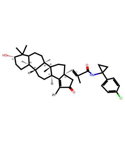 C/C(=C\[C@@]12CC[C@]3(C)[C@H](CC[C@@H]4[C@@]5(C)CC[C@H](O)C(C)(C)C5CC[C@]43C)C1=C(C(C)C)C(=O)C2)C(=O)NC1(c2ccc(Cl)cc2)CC1